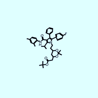 Cc1ccc(NC(=O)c2c(-c3ccccc3)c(-c3ccc(F)cc3)n(CCC3CC(CC(=O)OC(C)(C)C)OC(C)(C)O3)c2C(C)C)c(C)c1